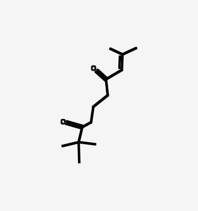 CC(C)=CC(=O)CCCC(=O)C(C)(C)C